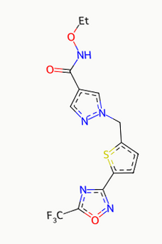 CCONC(=O)c1cnn(Cc2ccc(-c3noc(C(F)(F)F)n3)s2)c1